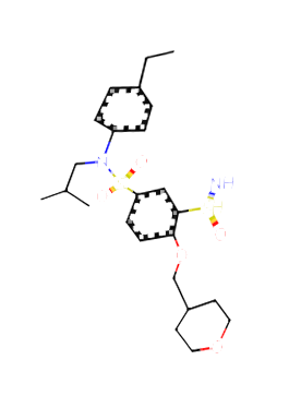 CCc1ccc(N(CC(C)C)S(=O)(=O)c2ccc(OCC3CCOCC3)c([SH](=N)=O)c2)cc1